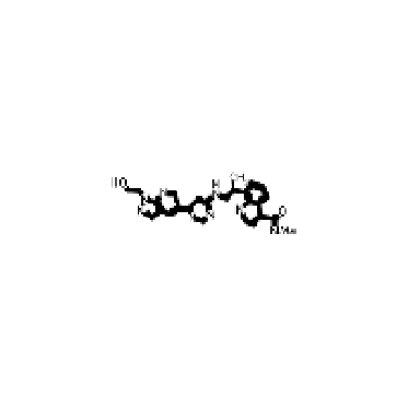 CNC(=O)c1ccnc2c([C@H](C)CNc3cc(-c4cnc5c(cnn5CCO)c4)ncn3)cccc12